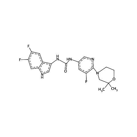 CC1(C)CN(c2ncc(NC(=O)Nc3c[nH]c4cc(F)c(F)cc34)cc2F)CCO1